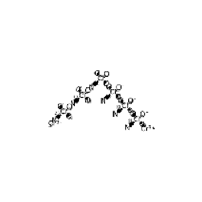 N#[C][Cr](=[O])(=[O])[O-].N#[C][Cr](=[O])(=[O])[O-].N#[C][Cr](=[O])(=[O])[O-].N#[C][Cr](=[O])(=[O])[O-].N#[C][Cr](=[O])(=[O])[O-].N#[C][Cr](=[O])(=[O])[O-].[Cr+3].[Cr+3]